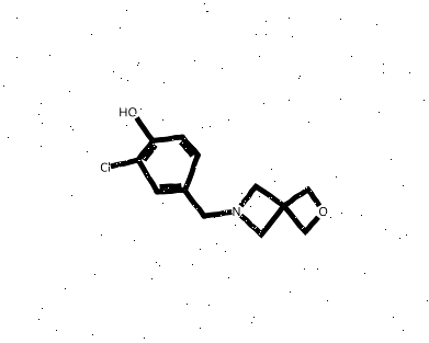 Oc1ccc(CN2CC3(COC3)C2)cc1Cl